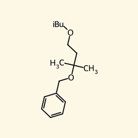 CCC(C)OCCC(C)(C)OCc1ccccc1